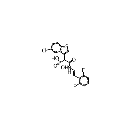 O=C(NC=Cc1c(F)cccc1F)C(c1csc2ccc(Cl)cc12)P(=O)(O)O